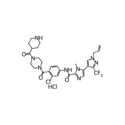 C=CCn1cc(-c2cnc(C(=O)Nc3ccc(C(=O)N4CCN(C(=O)C5CCNCC5)CC4)c(Cl)c3)n2C)c(C(F)(F)F)n1.Cl